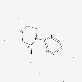 C[C@H]1COCCN1c1ncccn1